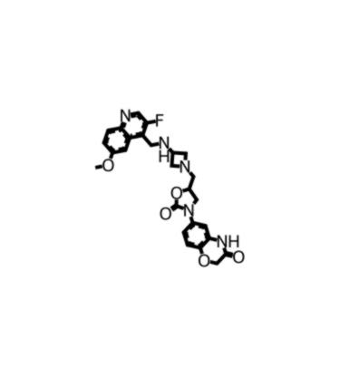 COc1ccc2ncc(F)c(CNC3CN(CC4CN(c5ccc6c(c5)NC(=O)CO6)C(=O)O4)C3)c2c1